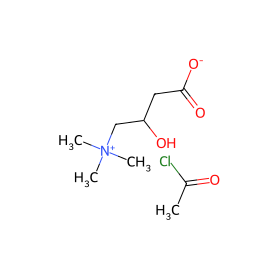 CC(=O)Cl.C[N+](C)(C)CC(O)CC(=O)[O-]